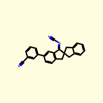 N#CN=C1c2cc(-c3cccc(C#N)c3)ccc2CC12Cc1ccccc1C2